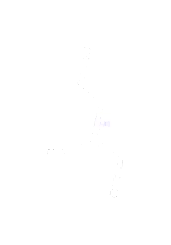 C/C(C=O)=C\C=O